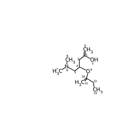 C=C(O)CC(CN(C)C)OC(=C)CC